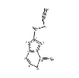 N#CCSc1nc2c(s1)C=CCC2=S